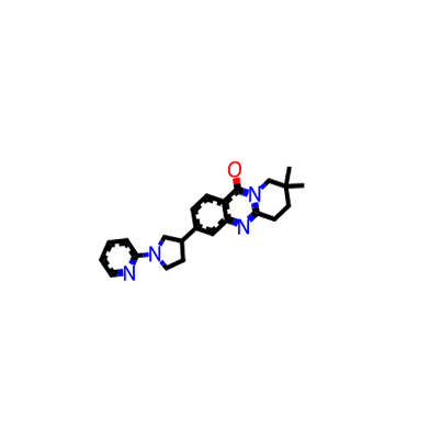 CC1(C)CCc2nc3cc(C4CCN(c5ccccn5)C4)ccc3c(=O)n2C1